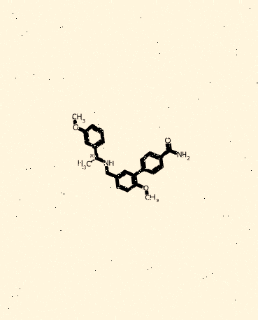 COc1cccc([C@@H](C)NCc2ccc(OC)c(-c3ccc(C(N)=O)cc3)c2)c1